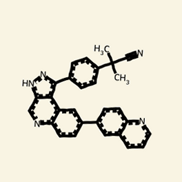 CC(C)(C#N)c1ccc(-c2n[nH]c3cnc4ccc(-c5ccc6ncccc6c5)cc4c23)cc1